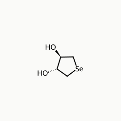 O[C@H]1C[Se]C[C@@H]1O